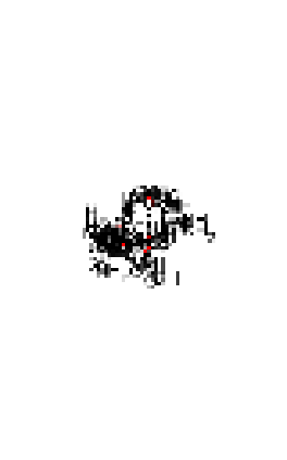 CCCCCCCCCCCCCCCC(=O)NC(CCC(=O)O)C(=O)NCCCC(=O)N[C@H](C(=O)N[C@@H](CCC(N)=O)C(=O)N[C@@H](Cc1c[nH]cn1)C(=O)N[C@@H](CO)C(=O)N[C@@H](CCCC)C(=O)N[C@H]1CCC(=O)CNCCCC[C@@H](C(N)=O)NC(=O)[C@H](Cc2c[nH]c3ccccc23)NC(=O)[C@H](CCCNC(=N)N)NC(=O)C(Cc2ccccc2)NC(=O)[C@@H]2CC(O)CN2C1=O)C(C)O